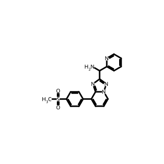 CS(=O)(=O)c1ccc(-c2cccn3nc(C(N)c4ccccn4)nc23)cc1